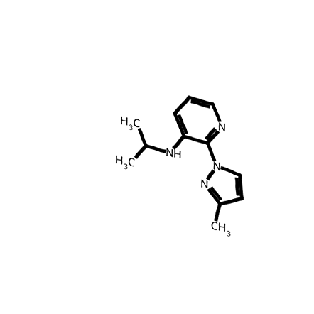 Cc1ccn(-c2ncccc2NC(C)C)n1